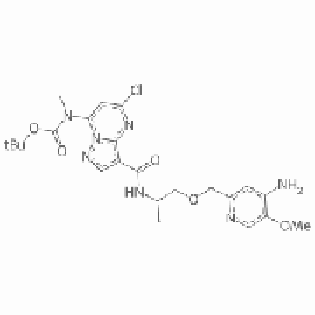 COc1cnc(COC[C@@H](C)NC(=O)c2cnn3c(N(C)C(=O)OC(C)(C)C)cc(Cl)nc23)cc1N